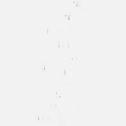 Cc1nc(N)ccc1CNC(=O)c1ccnc(Cc2nc3c(S(C)(=O)=O)cccc3cc2F)c1